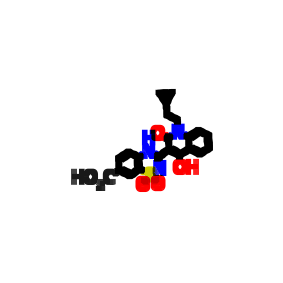 O=C(O)c1ccc2c(c1)S(=O)(=O)N=C(c1c(O)c3ccccc3n(CCC3CC3)c1=O)N2